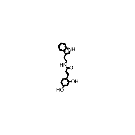 O=C(/C=C/c1ccc(O)cc1O)NCCc1c[nH]c2ccccc12